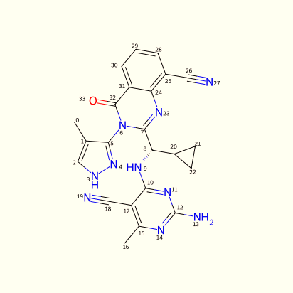 Cc1c[nH]nc1-n1c([C@@H](Nc2nc(N)nc(C)c2C#N)C2CC2)nc2c(C#N)cccc2c1=O